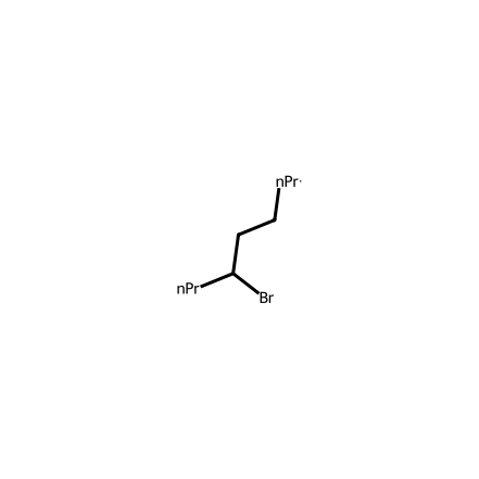 CC[CH]CCC(Br)CCC